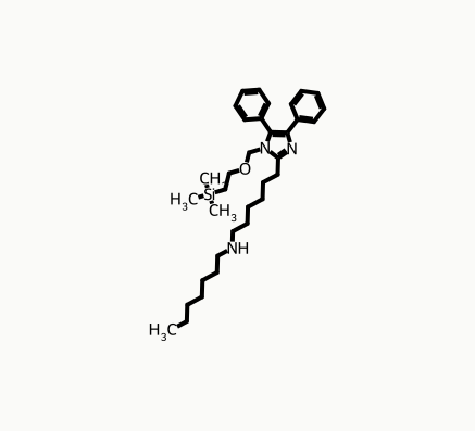 CCCCCCCNCCCCCCc1nc(-c2ccccc2)c(-c2ccccc2)n1COCC[Si](C)(C)C